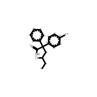 CCC(F)CC(C(=O)O)(c1ccccc1)c1ccc(F)cc1